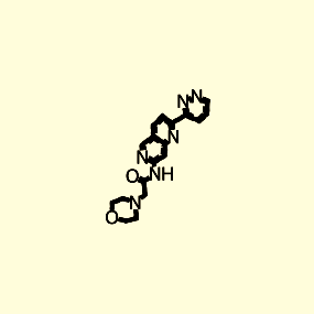 O=C(CN1CCOCC1)Nc1cc2nc(-c3cccnn3)ccc2cn1